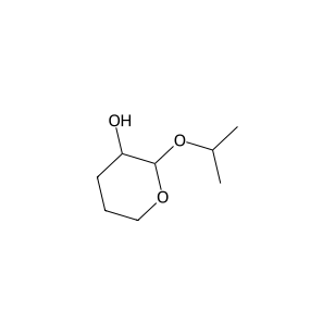 CC(C)OC1OCCCC1O